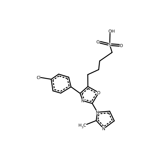 Cc1nccn1-c1nc(-c2ccc(Cl)cc2)c(CCCCS(=O)(=O)O)o1